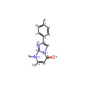 Cc1ccc(-c2cn3c(=O)cc(C)n(C)c3n2)cc1